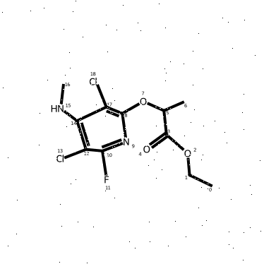 CCOC(=O)C(C)Oc1nc(F)c(Cl)c(NC)c1Cl